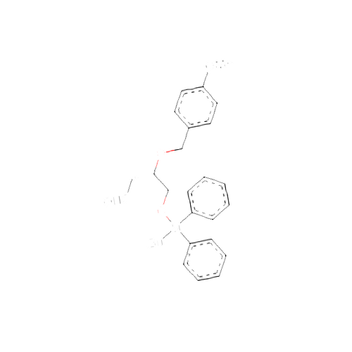 COc1ccc(CO[C@@H](CC=O)CO[Si](c2ccccc2)(c2ccccc2)C(C)(C)C)cc1